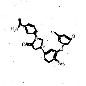 C=C(N)c1cccc(N2C[C@@H](c3ccc(N)c(Oc4cc(Cl)cc(Cl)c4)c3)CC2=O)c1